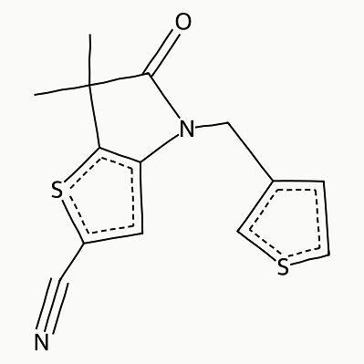 CC1(C)C(=O)N(Cc2ccsc2)c2cc(C#N)sc21